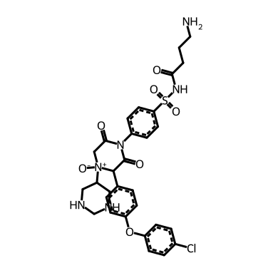 NCCCC(=O)NS(=O)(=O)c1ccc(N2C(=O)C[N+]([O-])(C3CNCNC3)C(c3ccc(Oc4ccc(Cl)cc4)cc3)C2=O)cc1